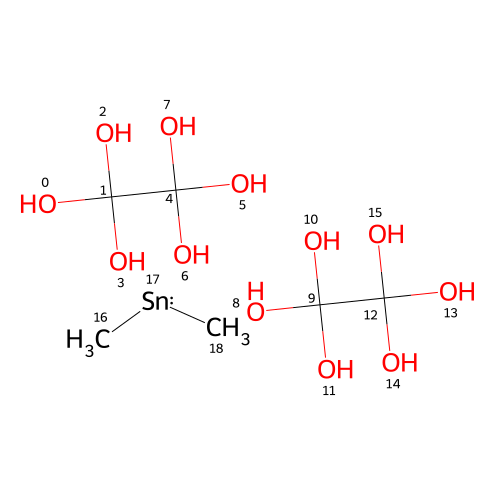 OC(O)(O)C(O)(O)O.OC(O)(O)C(O)(O)O.[CH3][Sn][CH3]